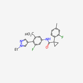 CCn1cc(-c2c(F)cc(NC(=O)C3(c4ccc(C)cc4F)CC3)cc2C(=O)O)cn1